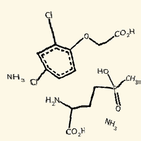 CP(=O)(O)CCC(N)C(=O)O.N.N.O=C(O)COc1ccc(Cl)cc1Cl